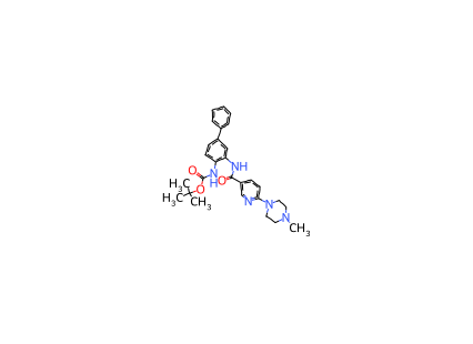 CN1CCN(c2ccc(C(=O)Nc3cc(-c4ccccc4)ccc3NC(=O)OC(C)(C)C)cn2)CC1